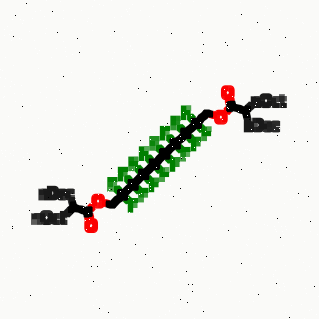 CCCCCCCCCCC(CCCCCCCC)C(=O)OCC(F)(F)C(F)(F)C(F)(F)C(F)(F)C(F)(F)C(F)(F)C(F)(F)C(F)(F)COC(=O)C(CCCCCCCC)CCCCCCCCCC